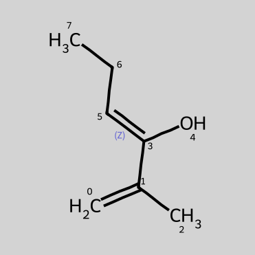 C=C(C)/C(O)=C/CC